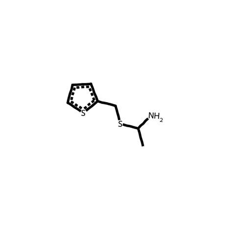 CC(N)SCc1cccs1